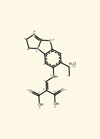 CCc1cc2c(cc1NC=C(C(=O)O)C(=O)O)N1CCN=C1S2.O